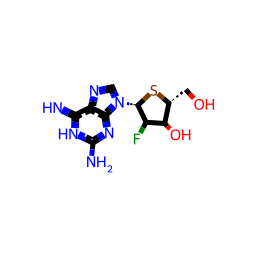 N=c1[nH]c(N)nc2c1ncn2[C@@H]1S[C@H](CO)C(O)C1F